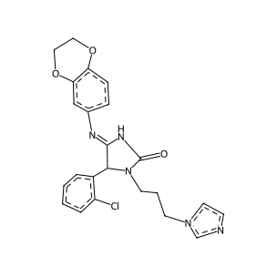 O=C1NC(=Nc2ccc3c(c2)OCCO3)C(c2ccccc2Cl)N1CCCn1ccnc1